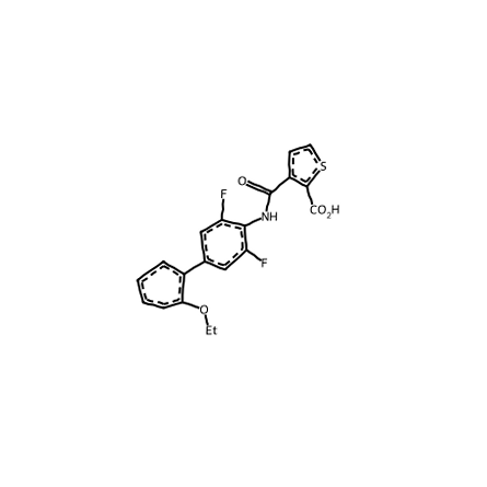 CCOc1ccccc1-c1cc(F)c(NC(=O)c2ccsc2C(=O)O)c(F)c1